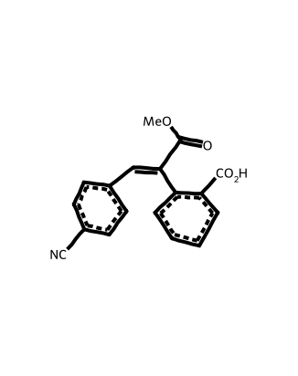 COC(=O)/C(=C/c1ccc(C#N)cc1)c1ccccc1C(=O)O